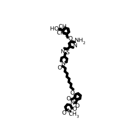 CN1C(=O)CCC(N2C(=O)c3cccc(OCCCCCCCCCC(=O)N4CCC(c5ncc(-c6cnc(N)c(OCc7cccc(C(C)(C)O)c7)c6)s5)CC4)c3C2=O)C1=O